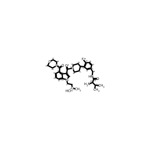 COCCn1cc(C(=O)N2CCC(c3cc(CNC(=O)C(N)C(C)C)ccc3F)CC2)c2c(C(=O)N3CCOCC3)cccc21.Cl